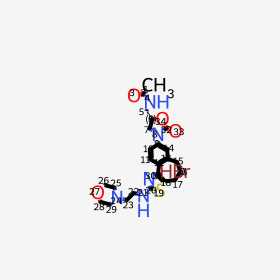 Br.CC(=O)NC[C@H]1CN(c2ccc3c(c2)CCCc2sc(NCCN4CCOCC4)nc2-3)C(=O)O1